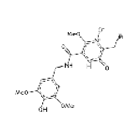 COc1cc(CNC(=O)c2[nH]c(=O)c(CC(C)C)[n+]([O-])c2OC)cc(OC)c1O